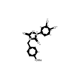 COc1ccc(Cn2c(=O)sn(-c3ccc(Cl)c(Cl)c3)c2=O)cc1